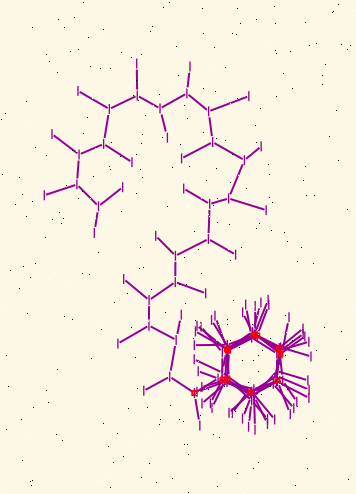 II(I)I(I)I(I)I(I)I(I)I(I)I(I)I(I)I(I)I(I)I(I)I(I)I(I)I(I)I(I)I(I)I(I)I(I)I(I)I(I)I(I)I(I)I(I)I(I)I(I)I(I)I(I)I(I)I(I)I(I)I(I)I(I)I(I)I(I)I(I)I(I)I(I)I(I)I(I)I(I)I(I)I(I)I(I)I(I)I(I)I(I)I(I)I(I)I(I)I(I)I(I)I(I)I(I)I(I)I(I)I(I)I(I)I(I)I(I)I